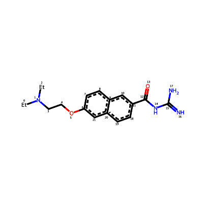 CCN(CC)CCOc1ccc2cc(C(=O)NC(=N)N)ccc2c1